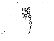 CCCCCCCCC1CCC(CCc2ccc(-c3cc(F)c(C(=O)O)c(F)c3-c3cc(F)c(F)c(F)c3)cc2)CC1